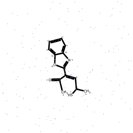 CC(=O)/C(=C\C(C)S)c1nc2ccccc2o1